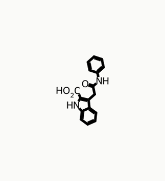 O=C(Cc1c(C(=O)O)[nH]c2ccccc12)Nc1ccccc1